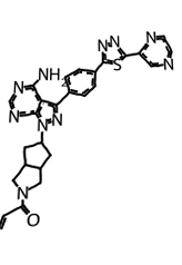 C=CC(=O)N1CC2CC(n3nc(-c4ccc(-c5nnc(-c6cnccn6)s5)cc4)c4c(N)ncnc43)CC2C1